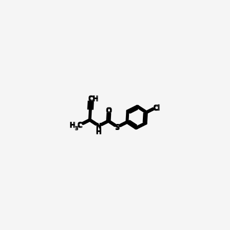 C#CC(C)NC(=O)Sc1ccc(Cl)cc1